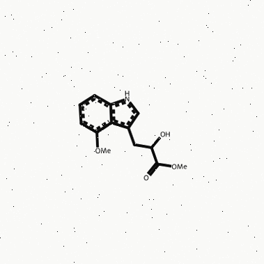 COC(=O)C(O)Cc1c[nH]c2cccc(OC)c12